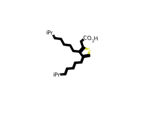 CC(C)CCCCCc1csc(CC(=O)O)c1CCCCCC(C)C